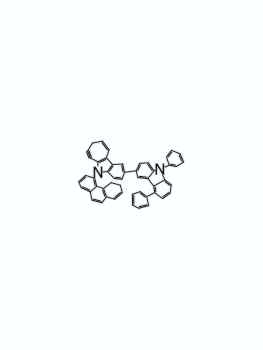 C1#Cc2c(c3cc(-c4ccc5c(c4)c4c(-c6ccccc6)cccc4n5-c4ccccc4)ccc3n2-c2cccc3ccc4c(c23)CCC=C4)C=CC1